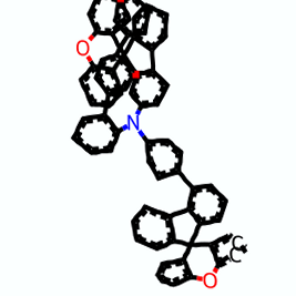 c1ccc(-c2ccc(-c3ccccc3N(c3ccc(-c4cccc5c4-c4ccccc4C54c5ccccc5Oc5ccccc54)cc3)c3ccc4c(c3)C3(c5ccccc5Oc5ccccc53)c3ccccc3-4)cc2)cc1